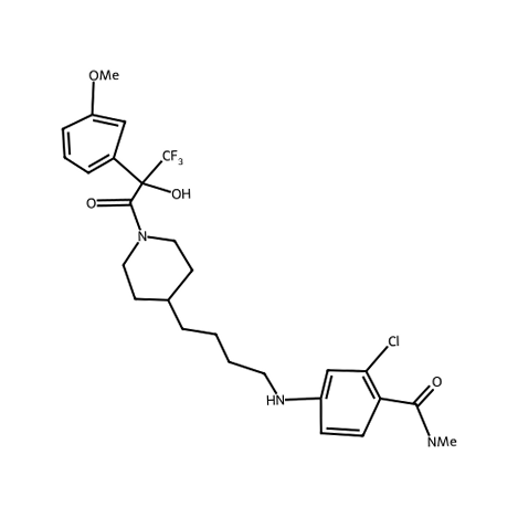 CNC(=O)c1ccc(NCCCCC2CCN(C(=O)C(O)(c3cccc(OC)c3)C(F)(F)F)CC2)cc1Cl